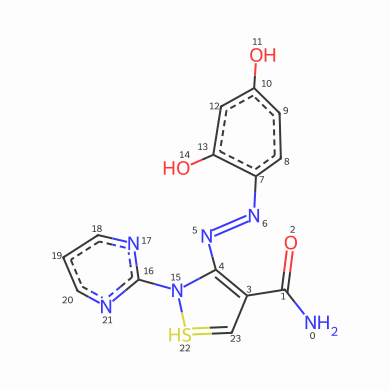 NC(=O)C1=C(/N=N/c2ccc(O)cc2O)N(c2ncccn2)[SH]=C1